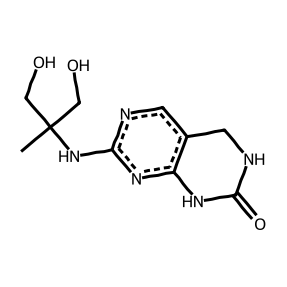 CC(CO)(CO)Nc1ncc2c(n1)NC(=O)NC2